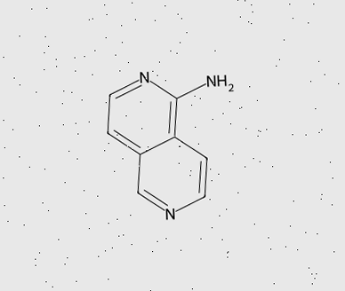 Nc1nccc2cnccc12